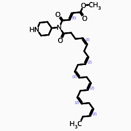 CC/C=C\C/C=C\C/C=C\C/C=C\C/C=C\C/C=C\CCC(=O)N(C(=O)/C=C/C(=O)OC)C1CCNCC1